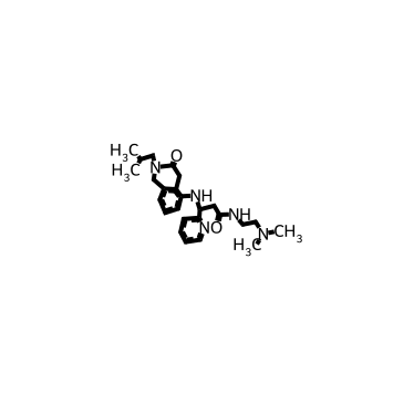 CC(C)CN1Cc2cccc(NC(CC(=O)NCCN(C)C)c3ccccn3)c2CC1=O